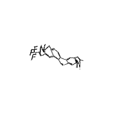 Cc1cc2cc3c(ccc4c5cc6cc(C(F)(F)F)n(C)c6cc5ccc34)cc2n1C